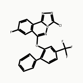 Fc1ccc2c(c1)c(Oc1cc(C(F)(F)F)ccc1-c1ccccc1)nn1c(Cl)nnc21